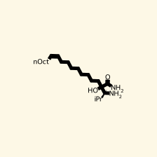 CCCCCCCC/C=C\CCCCCCCCC(O)(C(N)=O)[C@@H](N)C(C)C